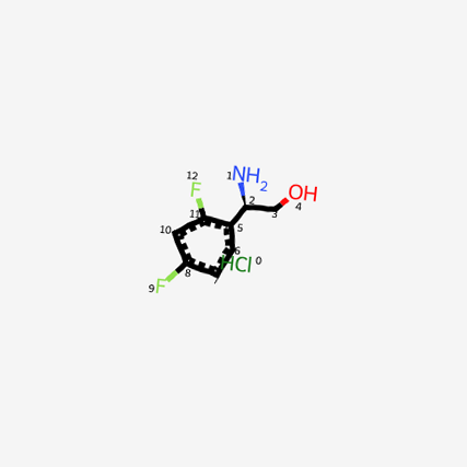 Cl.N[C@@H](CO)c1ccc(F)cc1F